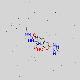 C=CCNC(=O)NC1C(=O)N2C(C(=O)O)=C(CSc3nnc(C)[nH]3)CS[C@H]12